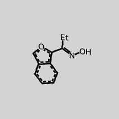 CCC(=NO)c1occ2ccccc12